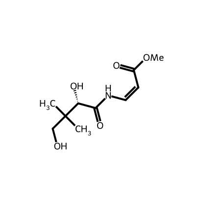 COC(=O)/C=C\NC(=O)[C@@H](O)C(C)(C)CO